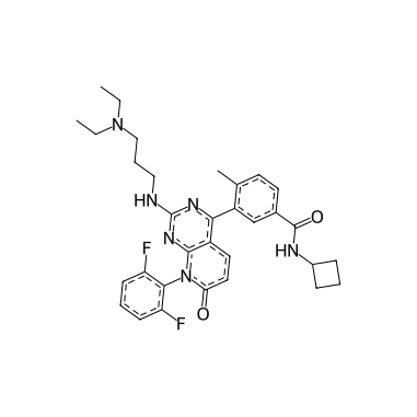 CCN(CC)CCCNc1nc(-c2cc(C(=O)NC3CCC3)ccc2C)c2ccc(=O)n(-c3c(F)cccc3F)c2n1